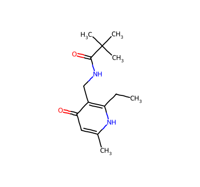 CCc1[nH]c(C)cc(=O)c1CNC(=O)C(C)(C)C